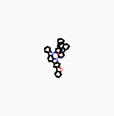 c1ccc(-c2cccc(-n3c4ccccc4c4ccc5c6cc7c(cc6n(-c6ccc8c(c6)-c6cccc9cccc-8c69)c5c43)oc3ccccc37)c2)cc1